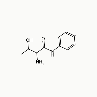 CC(O)C(N)C(=O)Nc1cc[c]cc1